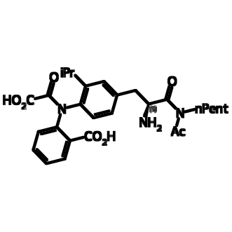 CCCCCN(C(C)=O)C(=O)[C@@H](N)Cc1ccc(N(C(=O)C(=O)O)c2ccccc2C(=O)O)c(C(C)C)c1